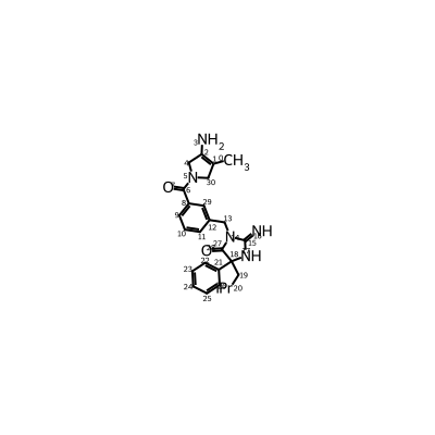 CC1=C(N)CN(C(=O)c2cccc(CN3C(=N)NC(CC(C)C)(c4ccccc4)C3=O)c2)C1